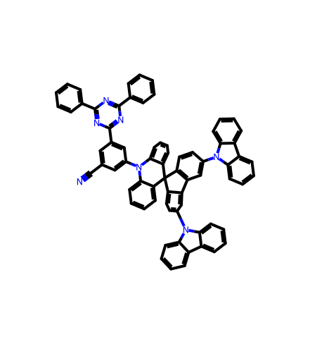 N#Cc1cc(-c2nc(-c3ccccc3)nc(-c3ccccc3)n2)cc(N2c3ccccc3C3(c4ccc(-n5c6ccccc6c6ccccc65)cc4-c4cc(-n5c6ccccc6c6ccccc65)ccc43)c3ccccc32)c1